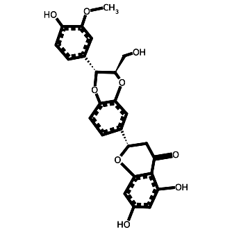 COc1cc([C@H]2Oc3ccc([C@@H]4CC(=O)c5c(O)cc(O)cc5O4)cc3O[C@@H]2CO)ccc1O